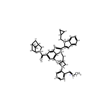 C/N=C/c1ncncc1N1CC(Cn2c(-c3cc4ccccc4n3CC3CC3)nc3cc(C(=O)N4CC5CC6CC4[C@H]65)cc(OC)c32)C1